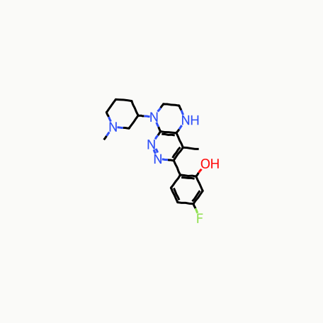 Cc1c(-c2ccc(F)cc2O)nnc2c1NCCN2C1CCCN(C)C1